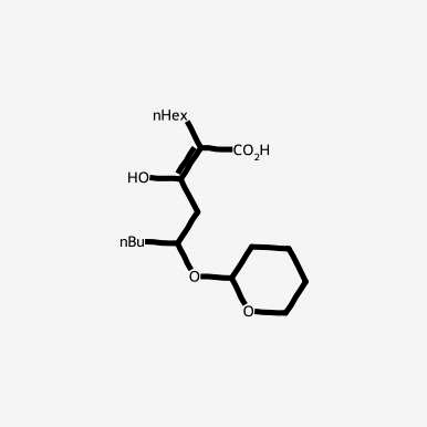 CCCCCCC(C(=O)O)=C(O)CC(CCCC)OC1CCCCO1